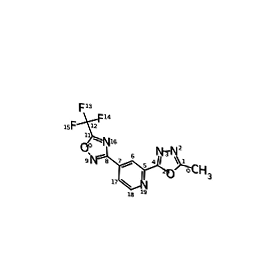 Cc1nnc(-c2cc(-c3noc(C(F)(F)F)n3)ccn2)o1